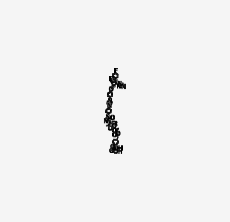 CC[C@@H](C(C)OC(=O)OC(C)OC(=O)Cc1ccc(OP(=O)(O)O)cc1)n1ncn(-c2ccc(N3CCN(c4ccc(OC[C@@H]5CO[C@@](Cn6cncn6)(c6ccc(F)cc6F)C5)cc4)CC3)cc2)c1=O